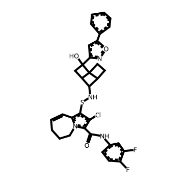 O=C(Nc1ccc(F)c(F)c1)c1c(Cl)c(SNC2C3CCC34C2CC4(O)c2cc(-c3ccccc3)on2)c2n1CCCC=C2